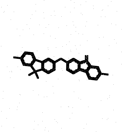 Cc1ccc2c(c1)C(C)(C)c1ccc(Cc3ccc4c(c3)[nH]c3cc(C)ccc34)cc1-2